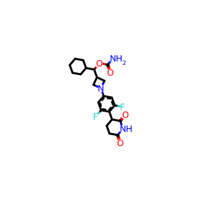 NC(=O)OC(C1CCCCC1)C1CN(c2cc(F)c(C3CCC(=O)NC3=O)c(F)c2)C1